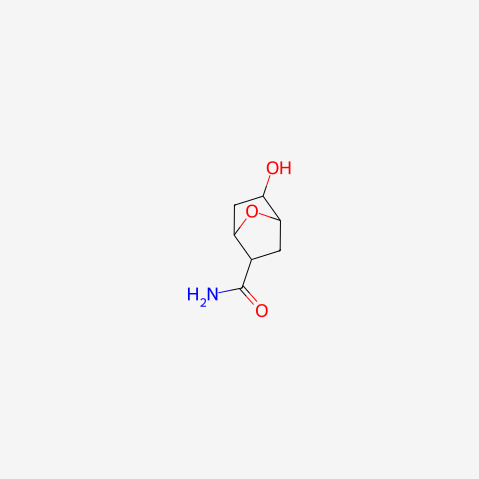 NC(=O)C1CC2OC1CC2O